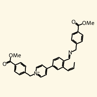 C/C=C\c1cc(-c2cc[n+](Cc3ccc(C(=O)OC)cc3)cc2)ccc1/C=N/Cc1ccc(C(=O)OC)cc1